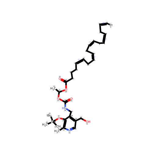 CC/C=C\C/C=C\C/C=C\C/C=C\C/C=C\CCCC(=O)OC(C)OC(=O)NCc1c(CO)cnc(C)c1O[Si](C)(C)C(C)(C)C